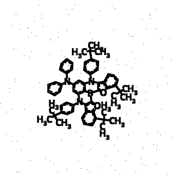 CC(C)(C)c1ccc(N2c3cc(N(c4ccccc4)c4ccccc4)cc4c3B(c3oc5c(C(C)(C)C)cccc5c32)c2oc3c(C(C)(C)C)cccc3c2N4c2ccc(C(C)(C)C)cc2)cc1